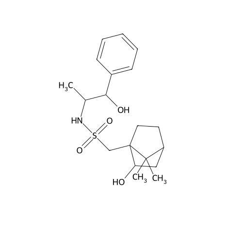 CC(NS(=O)(=O)CC12CCC(CC1O)C2(C)C)C(O)c1ccccc1